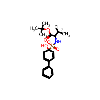 CC(C)C(NS(=O)(=O)C1(O)C=CC(c2ccccc2)=CC1)C(=O)OC(C)(C)C